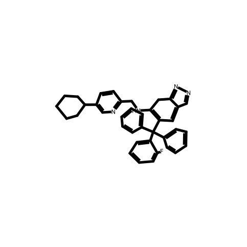 Fc1ccccc1C(C1=C(NCc2ccc(C3CCCCC3)cn2)CC2=NN=CC2=C1)(c1ccccc1)c1ccccc1